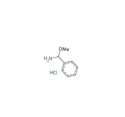 COC(N)c1ccccc1.Cl